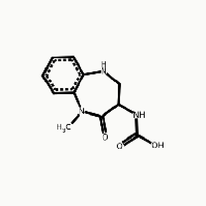 CN1C(=O)C(NC(=O)O)CNc2ccccc21